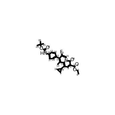 CCOC(=O)c1cc(C2CC2)c2c(C)c(-c3ccc(NC(=O)OC(C)(C)C)cc3)c(F)cn2c1=O